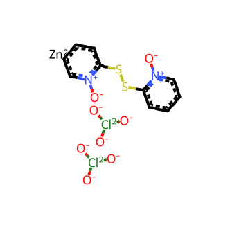 [O-][Cl+2]([O-])[O-].[O-][Cl+2]([O-])[O-].[O-][n+]1ccccc1SSc1cccc[n+]1[O-].[Zn+2]